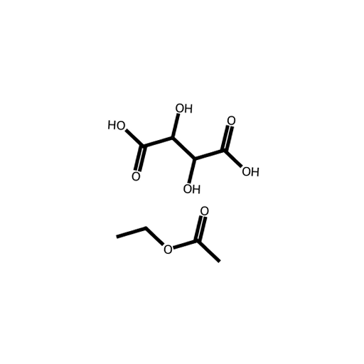 CCOC(C)=O.O=C(O)C(O)C(O)C(=O)O